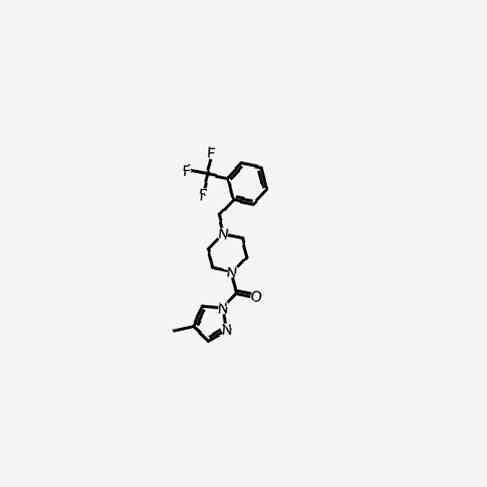 Cc1cnn(C(=O)N2CCN(Cc3ccccc3C(F)(F)F)CC2)c1